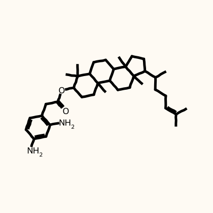 CC(C)=CCCC(C)C1CCC2(C)C3CCC4C(C)(C)C(OC(=O)Cc5ccc(N)cc5N)CCC4(C)C3CCC12C